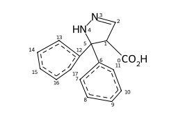 O=C(O)C1C=NNC1(c1ccccc1)c1ccccc1